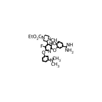 CCOC(=O)N1CCN(C)C(c2c(F)c(Oc3cccc(N(C)C)c3)nc(Oc3cc(C(=N)N)ccc3O)c2F)C1